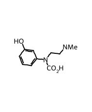 CNCCN(C(=O)O)c1cccc(O)c1